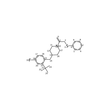 C=C(CSc1ccccc1)N1CCC(Cc2ccc(F)cc2C(C)(C)C)CC1